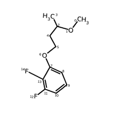 COC(C)CCOc1c[c]cc(F)c1F